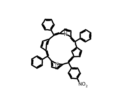 O=[N+]([O-])c1ccc(-c2c3cc(c(-c4ccccc4)c4ccc([nH]4)c(-c4ccccc4)c4cc(c(-c5ccccc5)c5ccc2[nH]5)C=C4)C=C3)cc1